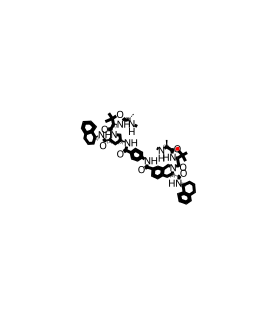 CN[C@@H](C)C(=O)NC(C(=O)N1Cc2cc(C(=O)Nc3ccc(C(=O)N[C@H]4C[C@@H](C(=O)N[C@@H]5CCCc6ccccc65)N(C(=O)[C@@H](NC(=O)[C@H](C)NC)C(C)(C)C)C4)cc3)ccc2C[C@H]1C(=O)N[C@@H]1CCCc2ccccc21)C(C)(C)C